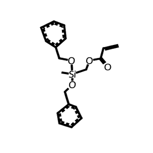 C=CC(=O)OC[Si](C)(OCc1ccccc1)OCc1ccccc1